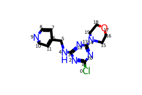 Clc1nc(NCc2ccncc2)nc(N2CCOCC2)n1